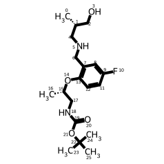 C[C@H](CO)CNCc1cc(F)ccc1O[C@@H](C)CNC(=O)OC(C)(C)C